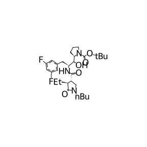 CCCCN1C[C@@H](C(=O)N[C@@H](Cc2cc(F)cc(F)c2)[C@H](O)[C@H]2CCCN2C(=O)OC(C)(C)C)[C@H](CC)C1=O